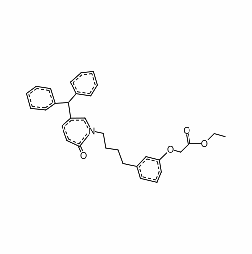 CCOC(=O)COc1cccc(CCCCn2cc(C(c3ccccc3)c3ccccc3)ccc2=O)c1